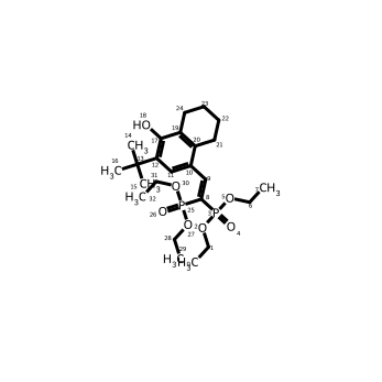 CCOP(=O)(OCC)C(=Cc1cc(C(C)(C)C)c(O)c2c1CCCC2)P(=O)(OCC)OCC